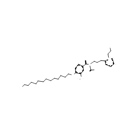 CCCCCCCCCCCCCCOc1ccc(C(=O)N(CCCc2cccc[n+]2CCC)C(C)=O)cc1OC.[I-]